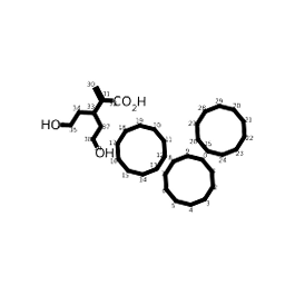 C1CCCCCCCCC1.C1CCCCCCCCC1.C1CCCCCCCCC1.C=C(C(=O)O)C(CCO)CCO